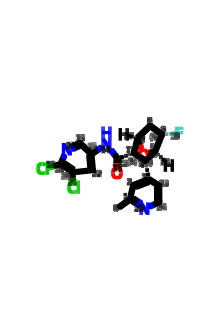 Cc1cc([C@H]2[C@H]3O[C@H](C[C@@H]3F)[C@H]2C(=O)Nc2cnc(Cl)c(Cl)c2)ccn1